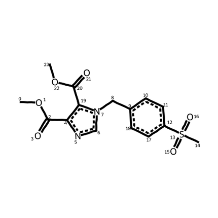 COC(=O)c1ncn(Cc2ccc(S(C)(=O)=O)cc2)c1C(=O)OC